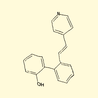 Oc1ccccc1-c1ccccc1C=Cc1ccncc1